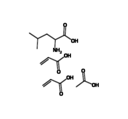 C=CC(=O)O.C=CC(=O)O.CC(=O)O.CC(C)CC(N)C(=O)O